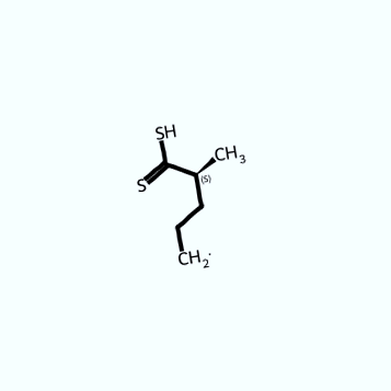 [CH2]CC[C@H](C)C(=S)S